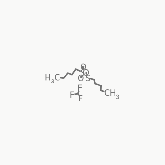 CCCCCSOS(=O)(=O)CCCCC.FC(F)F